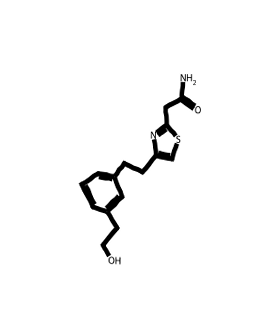 NC(=O)Cc1nc(CCc2cccc(CCO)c2)cs1